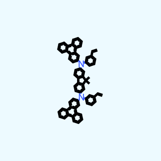 C=Cc1cccc(N(c2ccc3c(c2)C(C)(C)c2cc(N(c4cccc(C=C)c4)c4ccc5c6ccccc6c6ccccc6c5c4)ccc2-3)c2ccc3c4ccccc4c4ccccc4c3c2)c1